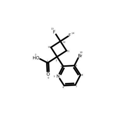 O=C(O)C1(c2ncccc2Br)CC(F)(F)C1